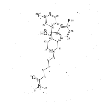 CN(C)C(=O)CCCCCN1CCC(C(O)(c2cccc(F)c2)c2cccc(F)c2)CC1